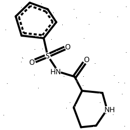 O=C(NS(=O)(=O)c1ccccc1)C1CCCNC1